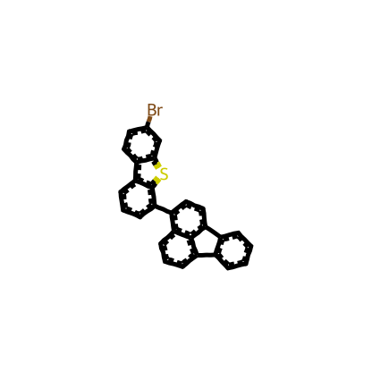 Brc1ccc2c(c1)sc1c(-c3ccc4c5c(cccc35)-c3ccccc3-4)cccc12